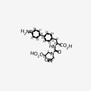 CC(C)CN(CC(O)C(=O)O)C(=O)NC(Cc1ccc(-c2ccc(N)cc2)cc1)C(=O)O